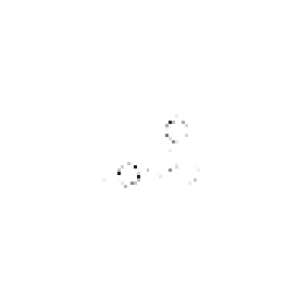 Fc1ccc(CCN2CCCCC2[CH]c2ccncc2)cc1